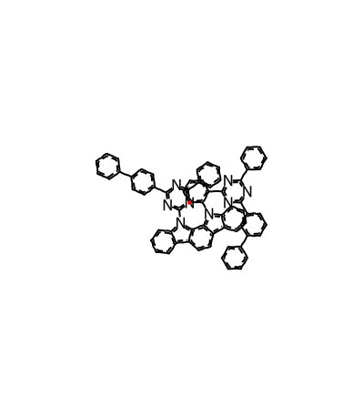 c1ccc(-c2ccc(-c3nc(-c4ccccc4)nc(-n4c5ccccc5c5ccc6c7ccccc7n(-c7ccccc7-c7nc(-c8ccccc8)nc(-c8cccc(-c9ccccc9)c8)n7)c6c54)n3)cc2)cc1